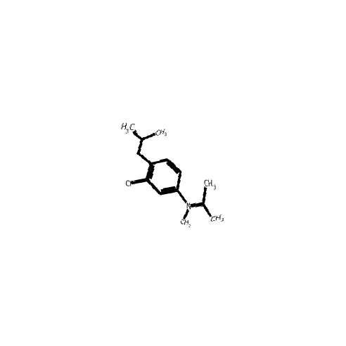 CC(C)Cc1ccc(N(C)C(C)C)cc1Cl